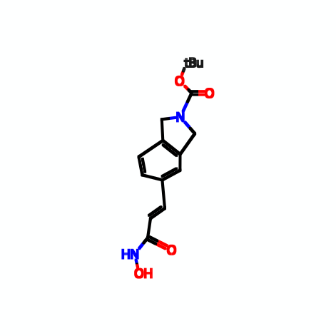 CC(C)(C)OC(=O)N1Cc2ccc(C=CC(=O)NO)cc2C1